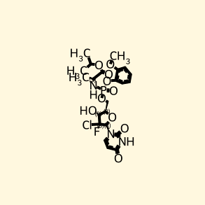 COc1ccccc1OP(=O)(N[C@@H](C)C(=O)OC(C)C)OC[C@H]1O[C@@H](n2ccc(=O)[nH]c2=O)[C@@](F)(Cl)[C@@H]1O